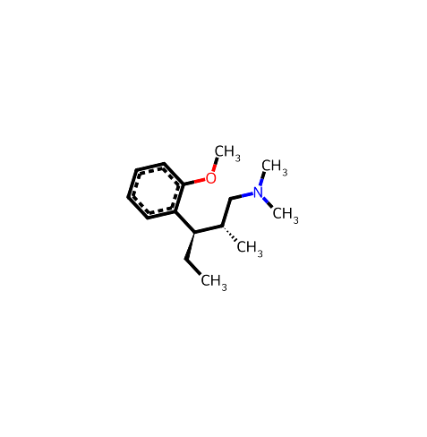 CC[C@@H](c1ccccc1OC)[C@@H](C)CN(C)C